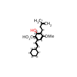 C=C(C)CCc1c(OC)cc(/C=C/C2CCCCC2)c(C(=O)O)c1O